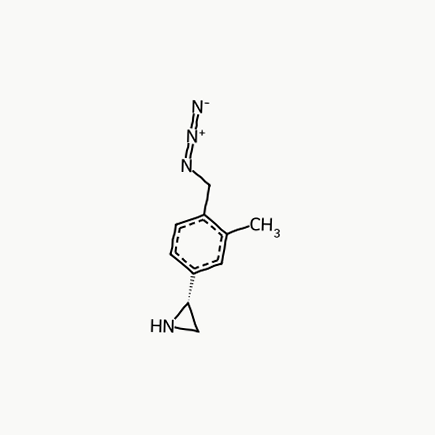 Cc1cc([C@@H]2CN2)ccc1CN=[N+]=[N-]